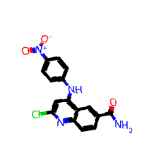 NC(=O)c1ccc2nc(Cl)cc(Nc3ccc([N+](=O)[O-])cc3)c2c1